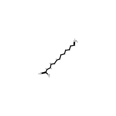 C=CCCCCCCCCCCCC(=O)Cl